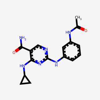 CC(=O)Nc1cccc(Nc2ncc(C(N)=O)c(NC3CC3)n2)c1